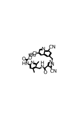 Cc1cc(NC(=O)OC(C)(C)C)nc(C)c1CNC(=O)c1cn(Cc2cc(C#N)c3ncc(Cl)cc3c2)nc1C#N